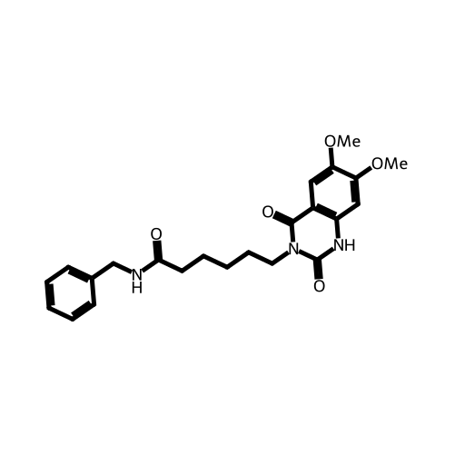 COc1cc2[nH]c(=O)n(CCCCCC(=O)NCc3ccccc3)c(=O)c2cc1OC